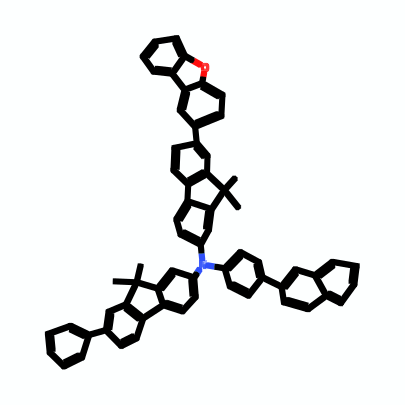 CC1(C)c2cc(-c3ccccc3)ccc2-c2ccc(N(c3ccc(-c4ccc5ccccc5c4)cc3)c3ccc4c(c3)C(C)(C)c3cc(-c5ccc6oc7ccccc7c6c5)ccc3-4)cc21